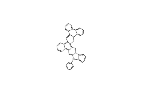 c1ccc(-n2c3ccccc3c3cc4c5cc6c7ccccc7c7ccccc7c6cc5c5ccccc5c4cc32)cc1